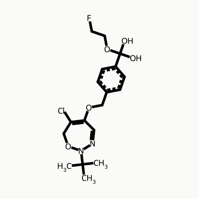 CC(C)(C)N1N=CC(OCc2ccc(C(O)(O)OCCF)cc2)=C(Cl)CO1